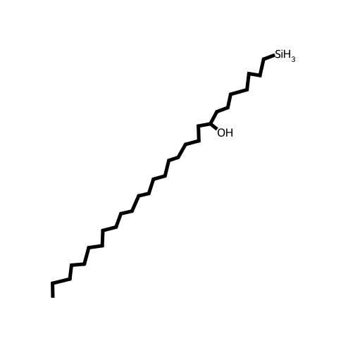 CCCCCCCCCCCCCCCCCCCCC(O)CCCCCCC[SiH3]